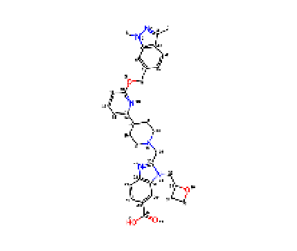 Cc1nn(C)c2cc(COc3cccc(C4CCN(Cc5nc6ccc(C(=O)O)cc6n5CC5CCO5)CC4)n3)ccc12